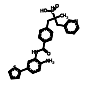 CC(Cc1ccc(C(=O)Nc2cc(-c3cccs3)ccc2N)cc1)(Cc1cccnc1)[PH](=O)O